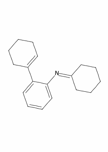 C1=C(c2ccccc2N=C2CCCCC2)CCCC1